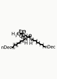 CCCCCCCCCCCCCCCCCCNC(=O)C(COC(=O)C(C)(C)CC)NC(=O)CCCCCCCCCCCCCCCCC